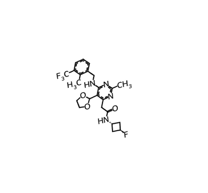 Cc1nc(CC(=O)N[C@H]2C[C@H](F)C2)c(C2OCCO2)c(NCc2cccc(C(F)(F)F)c2C)n1